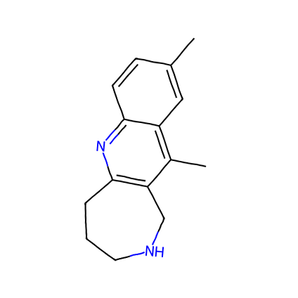 Cc1ccc2nc3c(c(C)c2c1)CNCCC3